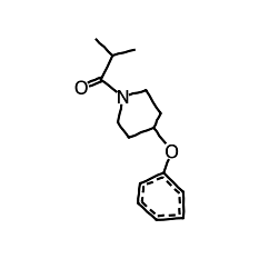 CC(C)C(=O)N1CCC(Oc2ccccc2)CC1